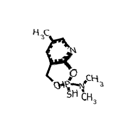 Cc1cnc2c(c1)CO[PH](S)(N(C)C)O2